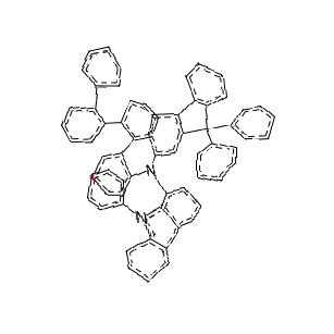 c1ccc(-c2ccccc2-c2ccccc2-c2ccccc2N(c2ccc3c(c2)C(c2ccccc2)(c2ccccc2)c2ccccc2-3)c2cccc3c4ccccc4n(-c4ccccc4)c23)cc1